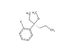 C[CH]C[C@](CC)(OC)c1ccccc1F